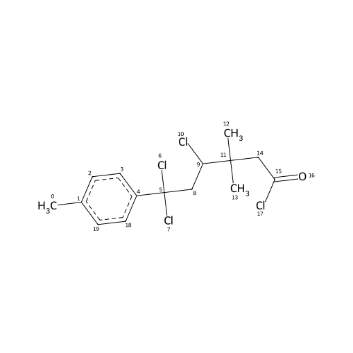 Cc1ccc(C(Cl)(Cl)CC(Cl)C(C)(C)CC(=O)Cl)cc1